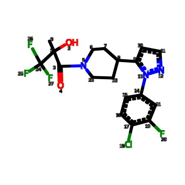 CC(O)(C(=O)N1CCC(c2ccnn2-c2ccc(Cl)c(F)c2)CC1)C(F)(F)F